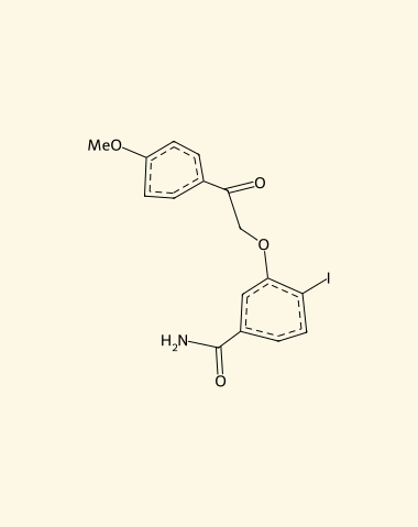 COc1ccc(C(=O)COc2cc(C(N)=O)ccc2I)cc1